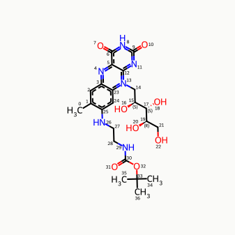 Cc1cc2nc3c(=O)[nH]c(=O)nc-3n(C[C@H](O)[C@H](O)[C@H](O)CO)c2cc1NCCNC(=O)OC(C)(C)C